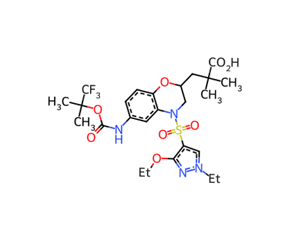 CCOc1nn(CC)cc1S(=O)(=O)N1CC(CC(C)(C)C(=O)O)Oc2ccc(NC(=O)OC(C)(C)C(F)(F)F)cc21